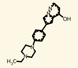 CCN1CCN(c2ccc(-c3cc4c(O)ccnn4c3)cc2)CC1